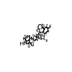 N[C@]1(CNC(=O)c2ccc(F)cc2Cl)CCN(c2ncnc3[nH]cc(Cl)c23)C1